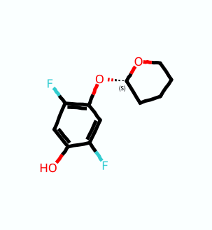 Oc1cc(F)c(O[C@H]2CCCCO2)cc1F